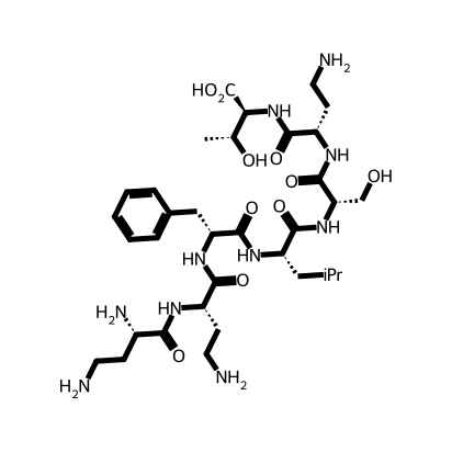 CC(C)C[C@H](NC(=O)[C@@H](Cc1ccccc1)NC(=O)[C@H](CCN)NC(=O)[C@@H](N)CCN)C(=O)N[C@@H](CO)C(=O)N[C@@H](CCN)C(=O)N[C@H](C(=O)O)[C@@H](C)O